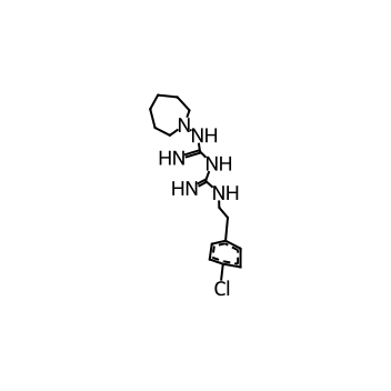 N=C(NCCc1ccc(Cl)cc1)NC(=N)NN1CCCCCC1